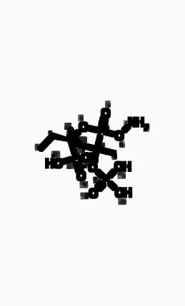 CC[C@@H](OP(=O)(ON)C(C)(CC)OP(=O)(O)O)P(=O)(O)O